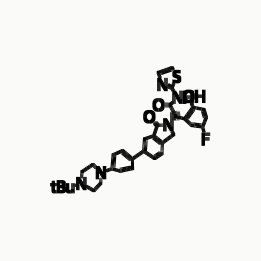 CC(C)(C)N1CCN(c2ccc(-c3ccc4c(c3)C(=O)N([C@@H](C(=O)Nc3nccs3)c3cc(F)ccc3O)C4)cc2)CC1